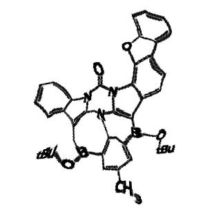 Cc1cc2c3c(c1)B(OC(C)(C)C)c1c4ccc5c6ccccc6oc5c4n4c(=O)n5c6ccccc6c(c5n-3c14)B2OC(C)(C)C